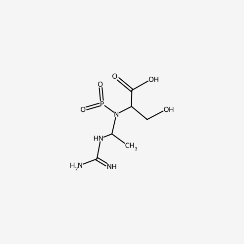 CC(NC(=N)N)N(C(CO)C(=O)O)P(=O)=O